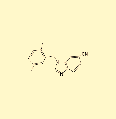 Cc1ccc(C)c(Cn2cnc3ccc(C#N)cc32)c1